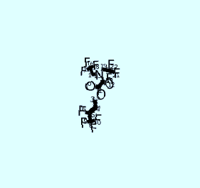 O=C(OC/C=C(\F)C(F)(F)F)C(=O)N(CC(F)(F)F)CC(F)(F)F